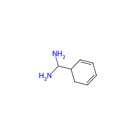 NC(N)C1C=CC=CC1